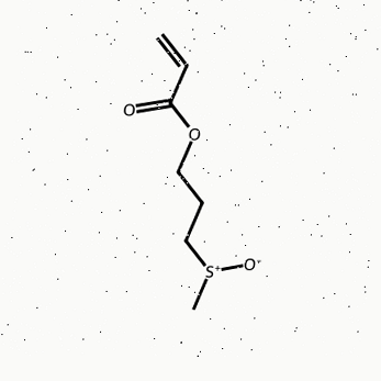 C=CC(=O)OCCC[S+](C)[O-]